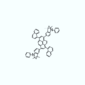 CC12CC1(C)N(c1ccccc1)c1ccc(-c3cc(-c4cccc5ccccc45)c4ccc5c(-c6ccc7c(c6)[C@@]6(C)CC6(C)N7c6ccccc6)cc(-c6cccc7ccccc67)c6ccc3c4c56)cc12